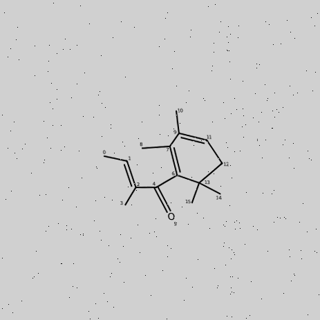 CC=C(C)C(=O)C1=C(C)C(C)=CCC1(C)C